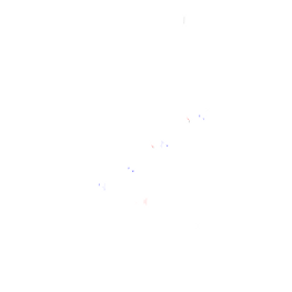 CCCCCCCCCCN(CCCCCCCCCC)C(=O)CCNC(=O)CCN(CCO)CCNCCO